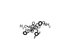 C=CCN1CC(=O)N2[C@@H](Cc3ccc(ON)cc3)C(=O)N(Cc3ccc(F)cc3F)C[C@@H]2N1C(=O)NCc1ccccc1